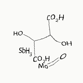 O=C(O)C(O)C(O)C(=O)O.[O]=[Mo].[SbH3]